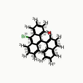 [2H]c1c([2H])c([2H])c2c(-c3c4c([2H])c([2H])c([2H])c([2H])c4c(Br)c4c([2H])c([2H])c([2H])c([2H])c34)c([2H])c([2H])c([2H])c2c1[2H]